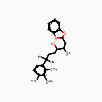 COc1ccc(C(C#N)(CCC(O)C(CC2Oc3ccccc3O2)[N+](=O)[O-])C(C)C)c(OC)c1OC